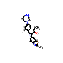 CCC(=O)/C(=C\c1ccc(N2CCCNCC2)cc1C)c1ccc2nc(C)sc2c1